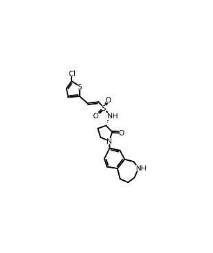 O=C1[C@@H](NS(=O)(=O)C=Cc2ccc(Cl)s2)CCN1c1ccc2c(c1)CNCCC2